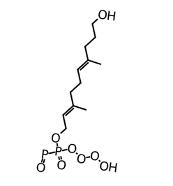 C/C(=C\COP(=O)(OOOO)P=O)CC/C=C(\C)CCCO